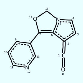 O=C=c1ccn2c1=C(c1cccnc1)OC2